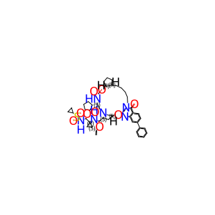 C=C[C@@H]1C[C@]1(NC(=O)[C@@H]1C[C@@H]2CN1C(=O)[C@H](C1CCCC1)NC(=O)O[C@@H]1CCC[C@H]1CCCCCn1c(nc3cc(-c4ccccc4)ccc3c1=O)O2)C(=O)NS(=O)(=O)C1CC1